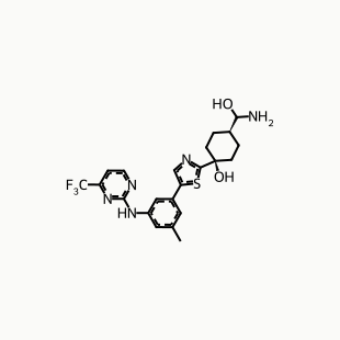 Cc1cc(Nc2nccc(C(F)(F)F)n2)cc(-c2cnc([C@]3(O)CC[C@@H](C(N)O)CC3)s2)c1